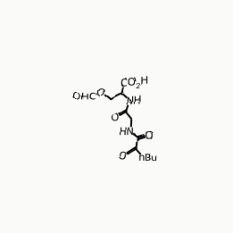 CCCCC(=O)C(=O)NCC(=O)NC(COC=O)C(=O)O